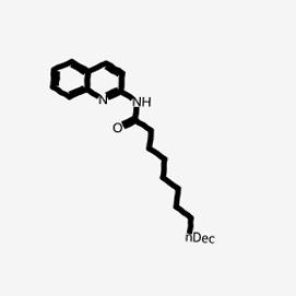 CCCCCCCCCCCCCCCCCC(=O)Nc1ccc2ccccc2n1